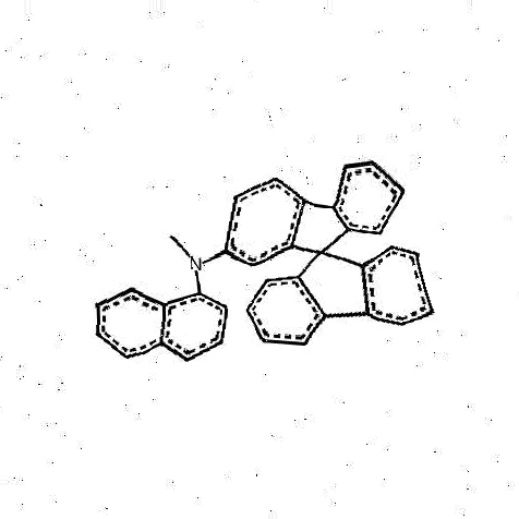 CN(c1ccc2c(c1)C1(c3ccccc3-c3ccccc31)c1ccccc1-2)c1cccc2ccccc12